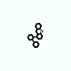 c1ccc(-c2ccccc2-c2cccc3nc4ccccc4cc23)cc1